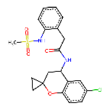 CS(=O)(=O)Nc1ccccc1CC(=O)NC1CC2(CC2)Oc2ccc(Cl)cc21